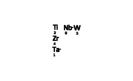 [Nb].[Ta].[Ti].[W].[Zr]